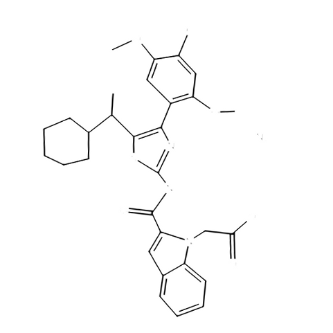 COc1cc(-c2nc(NC(=O)c3cc4ccccc4n3CC(=O)[O-])sc2C(C)C2CCCCC2)c(OC)cc1Cl.[Na+]